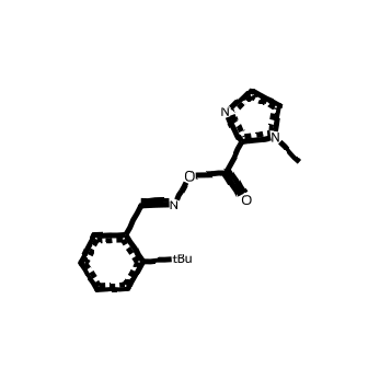 Cn1ccnc1C(=O)ON=Cc1ccccc1C(C)(C)C